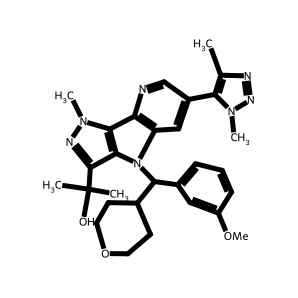 COc1cccc(C(C2CCOCC2)n2c3cc(-c4c(C)nnn4C)cnc3c3c2c(C(C)(C)O)nn3C)c1